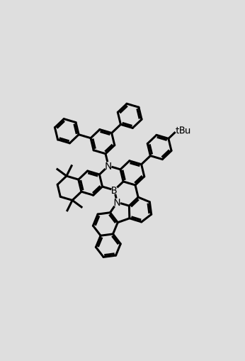 CC(C)(C)c1ccc(-c2cc3c4c(c2)N(c2cc(-c5ccccc5)cc(-c5ccccc5)c2)c2cc5c(cc2B4n2c4ccc6ccccc6c4c4cccc-3c42)C(C)(C)CCC5(C)C)cc1